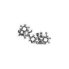 C=C(Nc1cnc(OC)c(S(=O)(=O)Nc2c(C)cccc2C)c1)c1cccc2ncn(C)c12